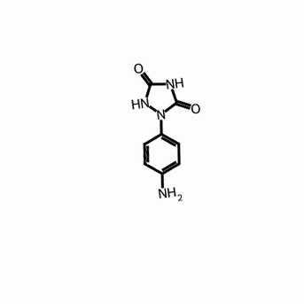 Nc1ccc(-n2[nH]c(=O)[nH]c2=O)cc1